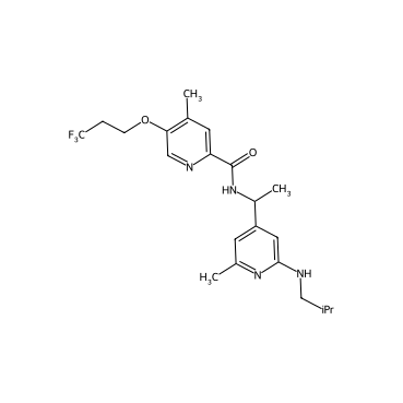 Cc1cc(C(C)NC(=O)c2cc(C)c(OCCC(F)(F)F)cn2)cc(NCC(C)C)n1